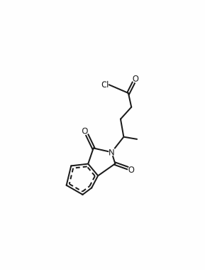 CC(CCC(=O)Cl)N1C(=O)c2ccccc2C1=O